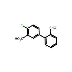 O=Cc1ccccc1-c1ccc(F)c(C(=O)O)c1